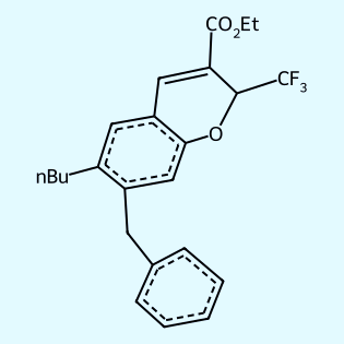 CCCCc1cc2c(cc1Cc1ccccc1)OC(C(F)(F)F)C(C(=O)OCC)=C2